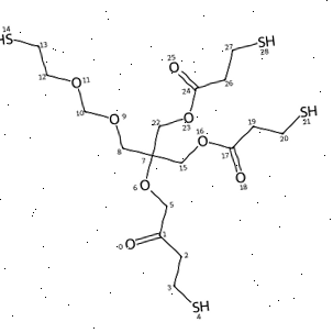 O=C(CCS)COC(COCOCCS)(COC(=O)CCS)COC(=O)CCS